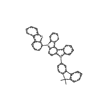 CC1(C)c2ccccc2-c2cc(-n3c4ccccc4c4c5c6ccccc6n(-c6cccc7c6sc6ccccc67)c5ccc43)ccc21